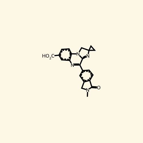 CN1Cc2cc(C3=Nc4cc(C(=O)O)ccc4N4CC5(CC5)N=C34)ccc2C1=O